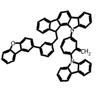 C=C1C=C(n2c3ccccc3c3ccc4c(c32)C(Cc2cccc(-c3ccc5oc6ccccc6c5c3)c2)c2ccccc2-4)C=CC=C1n1c2ccccc2c2ccccc21